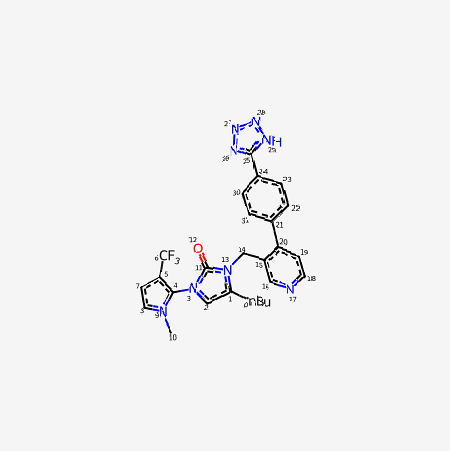 CCCCc1cn(-c2c(C(F)(F)F)ccn2C)c(=O)n1Cc1cnccc1-c1ccc(-c2nnn[nH]2)cc1